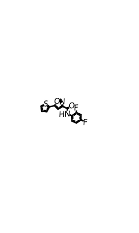 O=C(Nc1ccc(F)cc1F)c1cc(-c2cccs2)on1